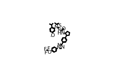 COc1ccc(C(C)C)c(-n2c(C)cs/c2=N\C(=O)NC2CCCC2c2ccc(-c3ncn(-c4ccc(OC(F)(F)F)cc4)n3)cc2)c1